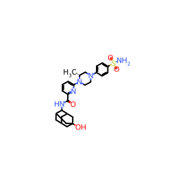 C[C@@H]1CN(c2ccc(S(N)(=O)=O)cc2)CCN1c1cccc(C(=O)NC2C3CC4CC2CC(O)(C4)C3)n1